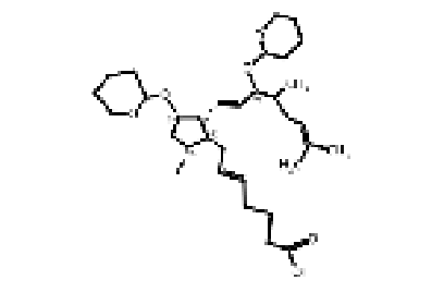 CC(C)=CCC(C)[C@@H](C=C[C@@H]1[C@@H](CC=CCCCC(=O)O)[C@H](Cl)C[C@H]1OC1CCCCO1)OC1CCCCO1